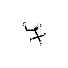 [O]CC(=O)C(F)(F)F